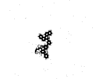 C/C=C\C=C(/C)C(=N)c1ccc2c(oc3ccccc32)c1-c1ccc(-c2cccc(-c3nc4c5ccccc5ccc4c4c3ccc3ccccc34)c2)cc1